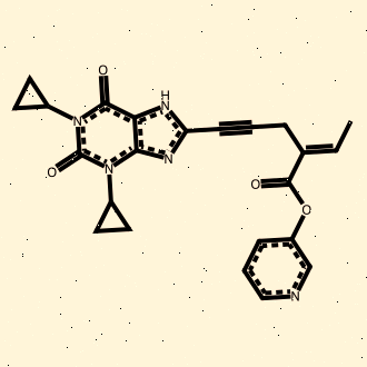 C/C=C(\CC#Cc1nc2c([nH]1)c(=O)n(C1CC1)c(=O)n2C1CC1)C(=O)Oc1cccnc1